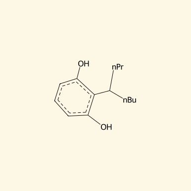 CCCCC(CCC)c1c(O)cccc1O